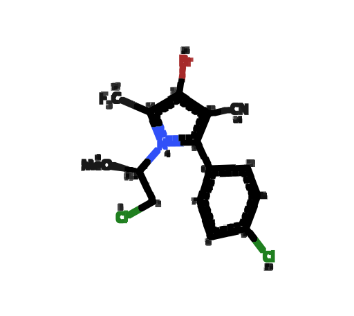 CO[C@H](CCl)n1c(-c2ccc(Cl)cc2)c(C#N)c(Br)c1C(F)(F)F